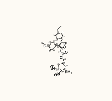 CCc1ccc(-c2noc(CC(=O)OCC3CC(N)C(N=O)C(N=O)C3)c2-c2ccc(OC)cc2)cc1